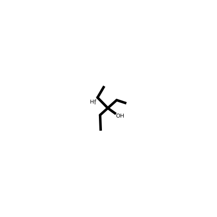 CCC(O)(CC)CC.[Hf]